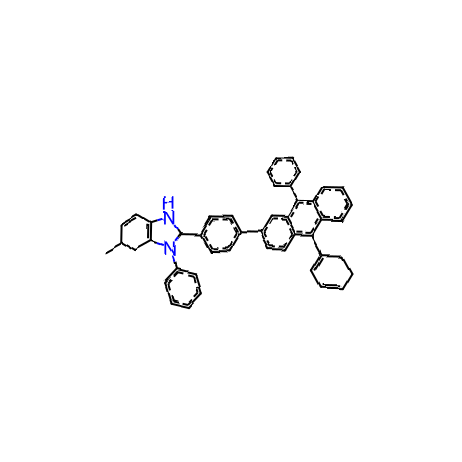 CC1C=CC2=C(C1)N(c1ccccc1)C(c1ccc(-c3ccc4c(C5=CC=CCC5)c5ccccc5c(-c5ccccc5)c4c3)cc1)N2